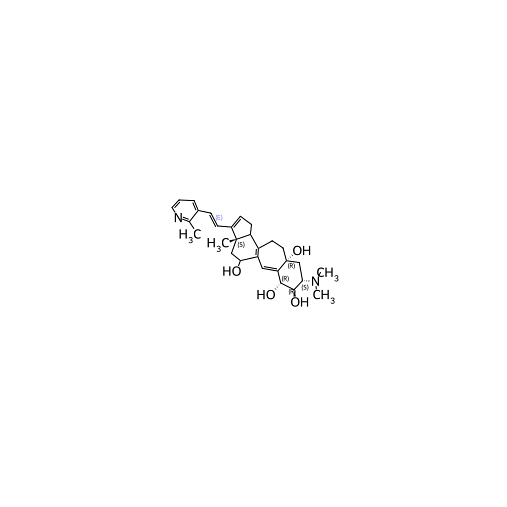 Cc1ncccc1/C=C/C1=CCC2C3=C(C=C4[C@@H](O)[C@H](O)[C@@H](N(C)C)C[C@]4(O)CC3)C(O)C[C@]12C